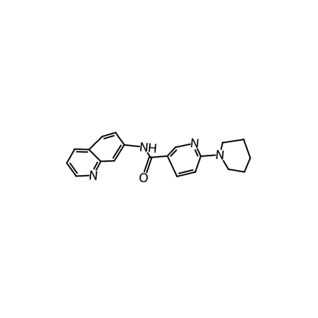 O=C(Nc1ccc2cccnc2c1)c1ccc(N2CCCCC2)nc1